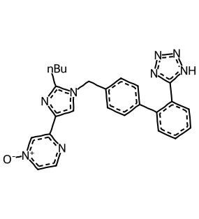 CCCCc1nc(-c2c[n+]([O-])ccn2)cn1Cc1ccc(-c2ccccc2-c2nnn[nH]2)cc1